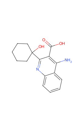 Nc1c(C(=O)O)c(C2(O)CCCCC2)nc2ccccc12